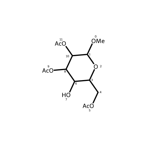 COC1OC(COC(C)=O)C(O)C(OC(C)=O)C1OC(C)=O